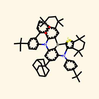 CC(C)(C)c1ccc(N2c3cc(C45CC6CC(CC(C6)C4)C5)cc4c3B(c3cc5c(cc3N4c3ccc(C(C)(C)C)cc3-c3ccccc3)C(C)(C)CCC5(C)C)c3sc4c(c32)C(C)(C)CCC4(C)C)cc1